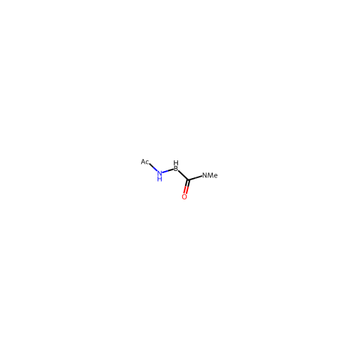 CNC(=O)BNC(C)=O